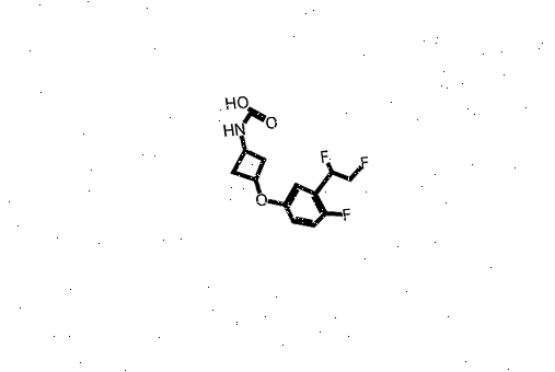 O=C(O)NC1CC(Oc2ccc(F)c(C(F)CF)c2)C1